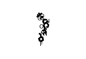 CC(c1ccc(F)cc1)n1cc(N2CCc3ncc(B4OC(C)(C)C(C)(C)O4)cc3C2=O)cn1